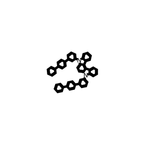 c1ccc(-c2ccc(-c3cccc(-n4c5ccccc5c5c6c7ccccc7n(-c7cccc(-c8ccc(-c9ccccc9)cc8)c7)c6ccc54)c3)cc2)cc1